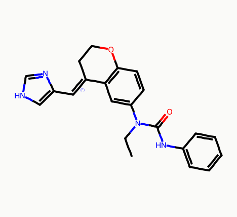 CCN(C(=O)Nc1ccccc1)c1ccc2c(c1)/C(=C/c1c[nH]cn1)CCO2